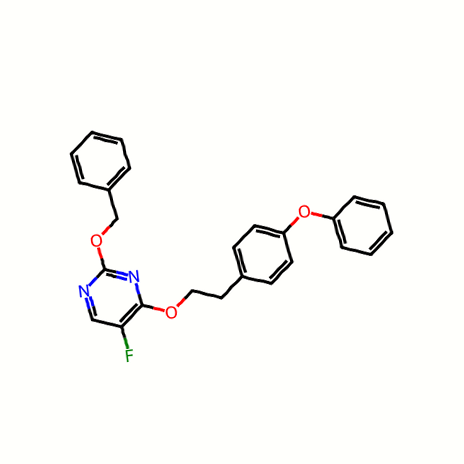 Fc1cnc(OCc2ccccc2)nc1OCCc1ccc(Oc2ccccc2)cc1